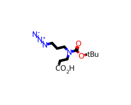 CC(C)(C)OC(=O)N(CCCN=[N+]=[N-])CCC(=O)O